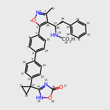 Cc1noc(-c2ccc(-c3ccc(C4(c5nc(=O)o[nH]5)CC4)cc3)cc2)c1[C@@H](Cc1ccccc1)NC(=O)O